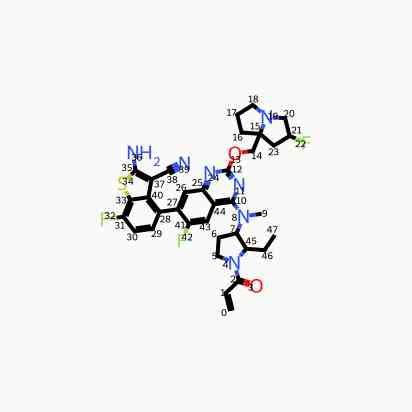 C=CC(=O)N1CCC(N(C)c2nc(OCC34CCCN3CC(F)C4)nc3cc(-c4ccc(F)c5sc(N)c(C#N)c45)c(F)cc23)C1CC